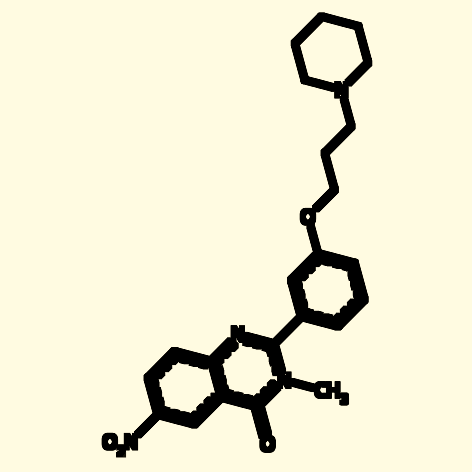 Cn1c(-c2cccc(OCCCN3CCCCC3)c2)nc2ccc([N+](=O)[O-])cc2c1=O